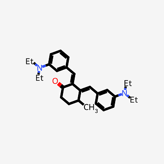 CCN(CC)c1cccc(C=C2C(=O)CCC(C)C2=Cc2cccc(N(CC)CC)c2)c1